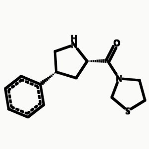 O=C([C@@H]1C[C@H](c2ccccc2)CN1)N1CCSC1